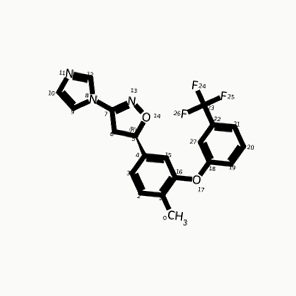 Cc1ccc([C@H]2CC(n3ccnc3)=NO2)cc1Oc1cccc(C(F)(F)F)c1